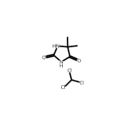 CC1(C)NC(=O)NC1=O.ClC(Cl)Cl